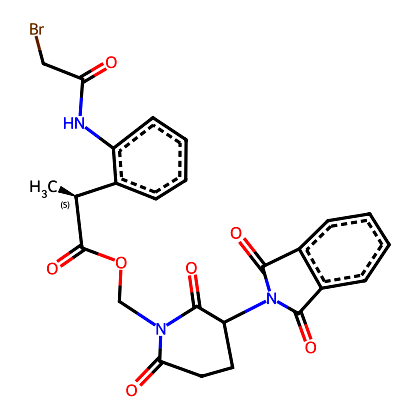 C[C@H](C(=O)OCN1C(=O)CCC(N2C(=O)c3ccccc3C2=O)C1=O)c1ccccc1NC(=O)CBr